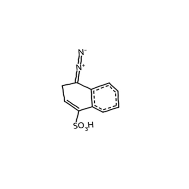 [N-]=[N+]=C1CC=C(S(=O)(=O)O)c2ccccc21